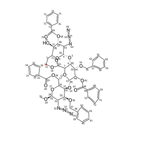 CCC1O[C@@H](O[C@H]2C(C(=O)OC)O[C@@H](O[C@@H]3C(COC(=O)c4ccccc4)O[C@H](OC)C(N=[N+]=[N-])[C@@H]3OCc3ccccc3)C(OC(=O)c3ccccc3)[C@H]2OCc2ccccc2)C(N=[N+]=[N-])[C@@H](OC(=O)c2ccccc2)[C@@H]1O